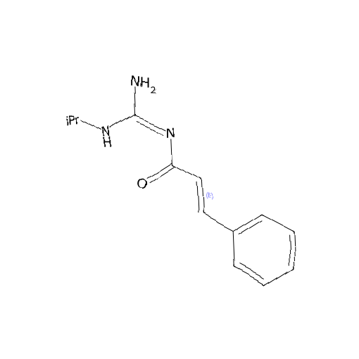 CC(C)NC(N)=NC(=O)/C=C/c1ccccc1